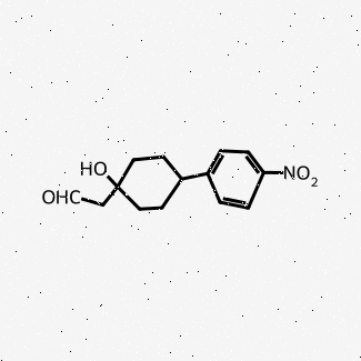 O=CCC1(O)CCC(c2ccc([N+](=O)[O-])cc2)CC1